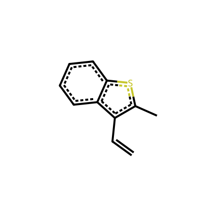 C=Cc1c(C)sc2ccccc12